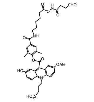 COc1ccc2c(c1)c(C(=O)Oc1c(C)cc(C(=O)NCCCCCC(=O)ONC(=O)CCC=O)cc1C)c1cc(O)ccc1[n+]2CCCS(=O)(=O)O